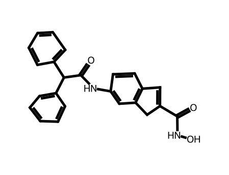 O=C(NO)C1=Cc2ccc(NC(=O)C(c3ccccc3)c3ccccc3)cc2C1